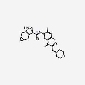 CC/C(=N\c1cc(N(C)C(=O)CN2CCOCC2)c(C)cc1C)c1n[nH]c2c1CC1CC1C2